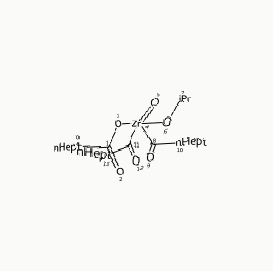 CCCCCCCC(=O)[O][Zr](=[O])([O]C(C)C)([C](=O)CCCCCCC)[C](=O)CCCCCCC